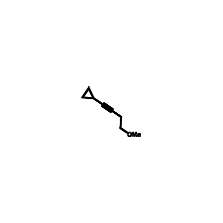 COCCC#CC1[CH]C1